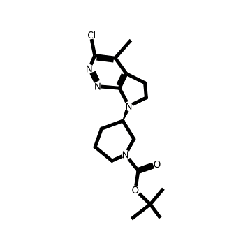 Cc1c(Cl)nnc2c1CCN2[C@@H]1CCCN(C(=O)OC(C)(C)C)C1